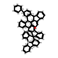 CC12c3ccccc3-c3cccc(c31)C(c1ccccc1-c1ccc3c(c1)C1(c4ccccc4-3)c3ccccc3-n3c4ccccc4c4cccc1c43)c1cc(-c3ccccc3)ccc12